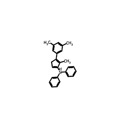 CC1=C(c2cc(C)cc(C)c2)CC=C1[SiH](c1ccccc1)c1ccccc1